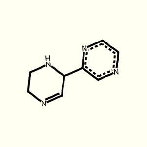 C1=NCCNC1c1cnccn1